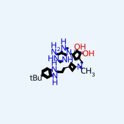 CN(C[C@H]1C[C@@H](N2CNC3C(N)NCNC32)[C@H](O)[C@@H]1O)[C@H]1C[C@H](CCC2Nc3ccc(C(C)(C)C)cc3N2)C1